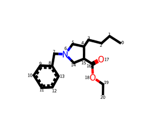 CCCCC1CN(Cc2ccccc2)CC1C(=O)OCC